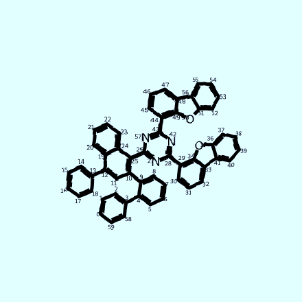 c1ccc(-c2ccccc2-c2cc(-c3ccccc3)c3ccccc3c2-c2nc(-c3cccc4c3oc3ccccc34)nc(-c3cccc4c3oc3ccccc34)n2)cc1